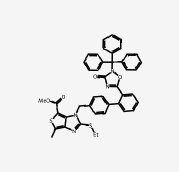 CCSc1nc2c(C)sc(C(=O)OC)c2n1Cc1ccc(-c2ccccc2-c2nc(=O)n(C(c3ccccc3)(c3ccccc3)c3ccccc3)o2)cc1